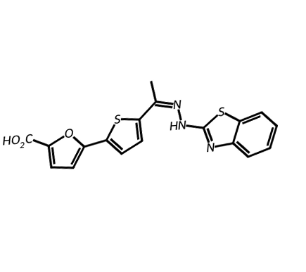 CC(=NNc1nc2ccccc2s1)c1ccc(-c2ccc(C(=O)O)o2)s1